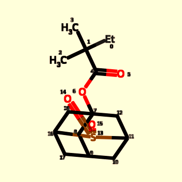 CCC(C)(C)C(=O)OC12CC3CC(C1)S(=O)(=O)C(C3)C2